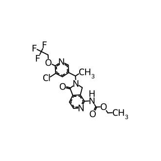 CCOC(=O)Nc1nccc2c1CN(C(C)c1cnc(OCC(F)(F)F)c(Cl)c1)C2=O